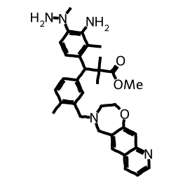 COC(=O)C(C)(C)C(c1ccc(C)c(CN2CCOc3cc4ncccc4cc3C2)c1)c1ccc(N(C)N)c(N)c1C